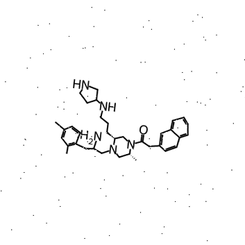 Cc1ccc(CC(N)CN2C[C@@H](C)N(C(=O)Cc3ccc4ccccc4c3)C[C@@H]2CCCNC2CCNC2)c(C)c1